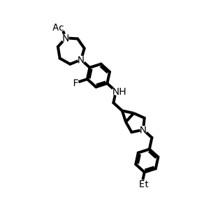 CCc1ccc(CN2CC3C(CNc4ccc(N5CCCN(C(C)=O)CC5)c(F)c4)C3C2)cc1